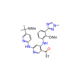 CCC(=O)c1cnc(Nc2ccc(C(C)(C)NC)cn2)cc1Nc1cccc(-c2ncn(C)n2)c1OC